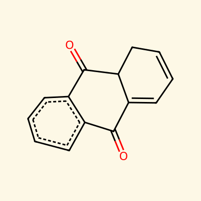 O=C1C2=CC=CCC2C(=O)c2ccccc21